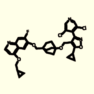 Fc1cc2nccc(OCC3CC3)c2cc1OCC12CCC(OCc3c(-c4c(Cl)cncc4Cl)noc3C3CC3)(CC1)CC2